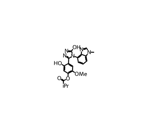 COc1cc(-c2nnc(O)n2-c2cccc3c2ncn3C)c(O)cc1OC(=O)C(C)C